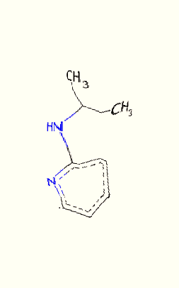 CC(C)Nc1ccc[c]n1